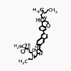 CCCN(C)Cc1nc2c([nH]1)-c1ccc(-c3ccc4cc(-c5cnc(CN(CCC)C(=O)CNC(=O)OC)[nH]5)ccc4c3)cc1OC2